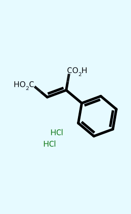 Cl.Cl.O=C(O)C=C(C(=O)O)c1ccccc1